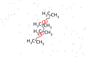 CC(C)CCOOC(C)(C)CCC(C)(C)OOCCC(C)C